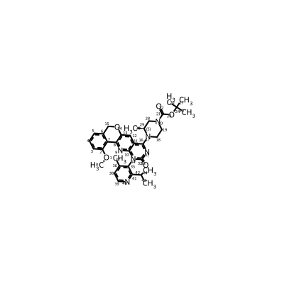 COc1cccc2c1-c1nc3c(cc1OC2)c(N1CCN(C(=O)OC(C)(C)C)C[C@@H]1C)nc(=O)n3-c1c(C)ccnc1C(C)C